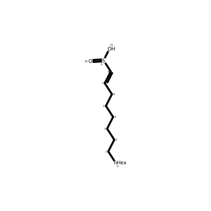 CCCCCCCCCCCC/C=C/S(=O)O